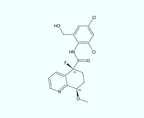 CO[C@@H]1CC[C@@](F)(C(=O)Nc2c(Cl)cc(Cl)cc2CO)c2cccnc21